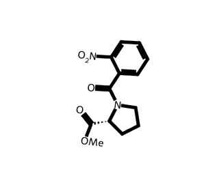 COC(=O)[C@H]1CCCN1C(=O)c1ccccc1[N+](=O)[O-]